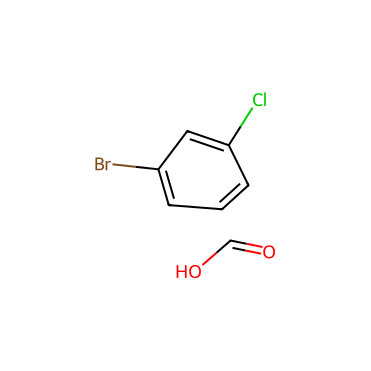 Clc1cccc(Br)c1.O=CO